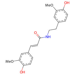 COc1cc(C=CC(=O)NCCc2ccc(O)c(OC)c2)ccc1O